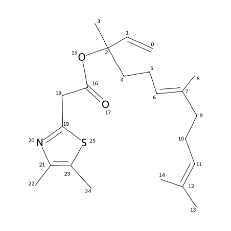 C=CC(C)(CC/C=C(\C)CCC=C(C)C)OC(=O)Cc1nc(C)c(C)s1